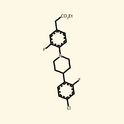 CCOC(=O)Cc1ccc(N2CCC(c3ccc(Cl)cc3F)CC2)c(F)c1